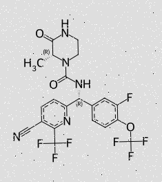 C[C@@H]1C(=O)NCCN1C(=O)N[C@H](c1ccc(OC(F)(F)F)c(F)c1)c1ccc(C#N)c(C(F)(F)F)n1